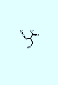 [N-]=[N+]=NC(CO)C(=O)O